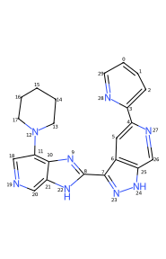 c1ccc(-c2cc3c(-c4nc5c(N6CCCCC6)cncc5[nH]4)n[nH]c3cn2)nc1